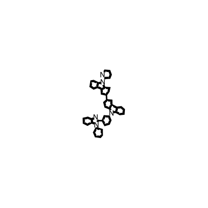 c1ccc(-n2c(-c3cccc(-n4c5ccccc5c5cc(-c6ccc7c(c6)c6ccccc6n7-c6ccccn6)ccc54)c3)nc3ccccc32)cc1